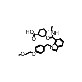 COCCOc1ccc(Cn2ccc3cccc(C(=O)NC(C)[C@H]4CC[C@H](C(=O)O)CC4)c32)cc1